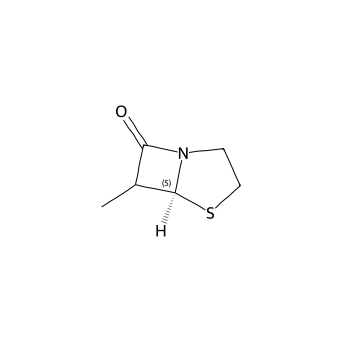 CC1C(=O)N2CCS[C@@H]12